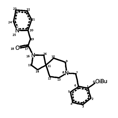 CC(C)COc1ccccc1CN1CCC2(CC1)CCN(C(=O)Cc1ccccn1)C2